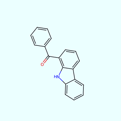 O=C(c1ccccc1)c1cccc2c1[nH]c1ccccc12